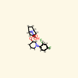 O=C(OC1CCCN(c2ccc(F)cc2F)C1)N1C2CCC1CC(O)C2